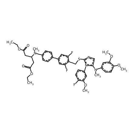 CCOC(=O)CC(CC(=O)OCC)N(C)c1ccc(-c2cc(F)c(CSc3ncc(N(C)c4ccc(OC)c(OC)c4)n3-c3ccc(F)c(OC)c3)c(F)c2)cc1